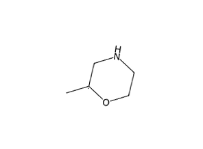 C[C]1CNCCO1